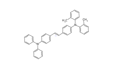 Cc1ccccc1N(c1ccc(/C=C/c2ccc(N(c3ccccc3)c3ccccc3)cc2)cc1)c1ccccc1C